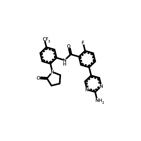 Nc1ncc(-c2ccc(F)c(C(=O)Nc3cc(C(F)(F)F)ccc3N3CCCC3=O)c2)cn1